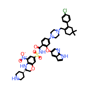 CC1(C)CCC(CN2CCN(c3ccc(C(=O)NS(=O)(=O)c4cc5c(c([N+](=O)[O-])c4)N[C@@H](C4CCNCC4)CO5)c(Oc4cnc5[nH]ccc5c4)c3)CC2)=C(c2ccc(Cl)cc2)C1